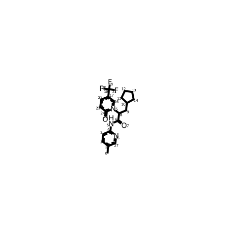 Cc1ccc(NC(=O)C(CC2CCCC2)n2cc(C(F)(F)F)ccc2=O)nc1